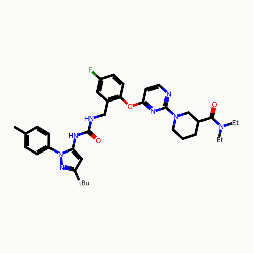 CCN(CC)C(=O)C1CCCN(c2nccc(Oc3ccc(F)cc3CNC(=O)Nc3cc(C(C)(C)C)nn3-c3ccc(C)cc3)n2)C1